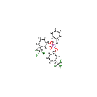 O=P(Cc1ccccc1)(Oc1cccc(C(F)(F)F)c1)Oc1cccc(C(F)(F)F)c1